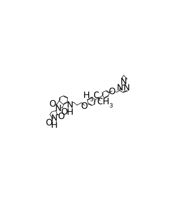 CC(C)(c1ccc(OCCCNc2cccc3c2C(=O)N(C2CCC(=O)NC2=O)C3=O)cc1)c1ccc(OCc2ccnc(N3CCC3)n2)cc1